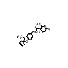 CCC1(Oc2ccc(CNC(=O)c3ccc(F)nc3N)cc2)CC=CS1